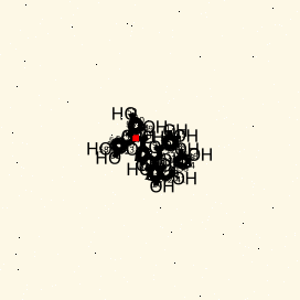 C=C1c2c(cc(O)c3c2OC(c2ccc(O)c(O)c2)[C@H](O)C3c2c(O)cc(O)c3c2O[C@H](c2ccc(O)c(O)c2)[C@@H](O)C3)O[C@@](Oc2cc(O)cc(O)c2)(c2ccc(O)c(O)c2)[C@@H]1O